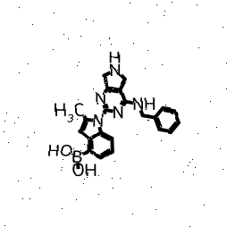 Cc1cc2c(B(O)O)cccc2n1-c1nc2c(c(NCc3ccccc3)n1)CNC2